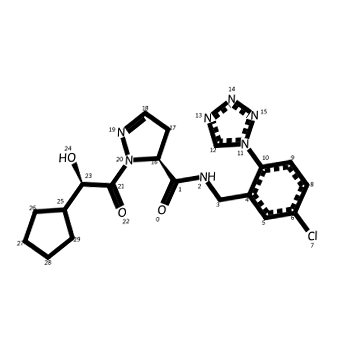 O=C(NCc1cc(Cl)ccc1-n1cnnn1)[C@@H]1CC=NN1C(=O)[C@H](O)C1CCCC1